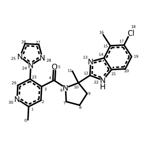 Cc1cc(C(=O)N2CCCC2(C)c2nc3c(C)c(Cl)ccc3[nH]2)c(-n2nccn2)cn1